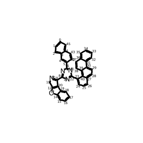 c1ccc2cc(-c3nc(C4=NCc5oc6ccccc6c54)nc(-c4cccc5ccc6c7ccccc7ccc6c45)n3)ccc2c1